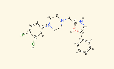 Clc1ccc(N2CCN(Cc3ncc(-c4ccccc4)o3)CC2)cc1Cl